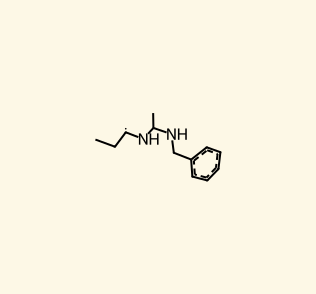 CC[CH]NC(C)NCc1ccccc1